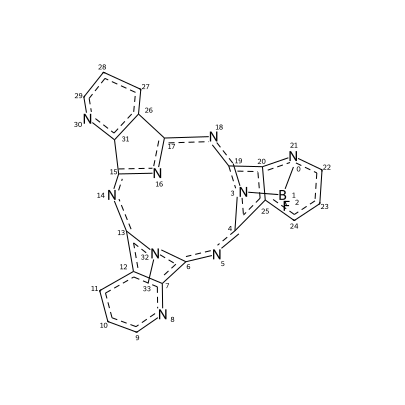 CB(F)n1c2nc3c4ncccc4c(nc4nc(nc1c1ncccc12)-c1cccnc1-4)n3C